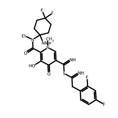 CCN(C(=O)c1c(O)c(=O)c(C(=N)SC(=N)Cc2ccc(F)cc2F)cn1C)C1(NC)CCC(F)(F)CC1